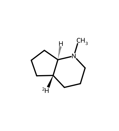 [2H][C@@]12CCC[C@H]1N(C)CCC2